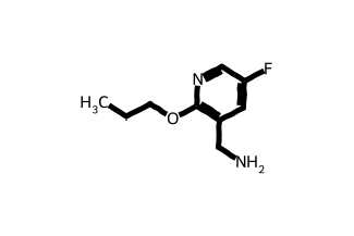 C[CH]COc1ncc(F)cc1CN